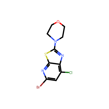 Clc1cc(Br)nc2sc(N3CCOCC3)nc12